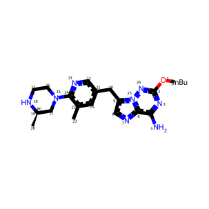 CCCCOc1nc(N)c2ncc(Cc3cnc(N4CCN[C@H](C)C4)c(C)c3)n2n1